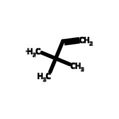 [CH2]C(C)(C)C=C